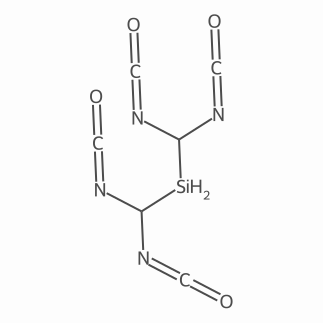 O=C=NC(N=C=O)[SiH2]C(N=C=O)N=C=O